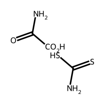 NC(=O)C(=O)O.NC(=S)S